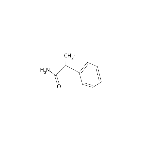 [CH2]C(C(N)=O)c1ccccc1